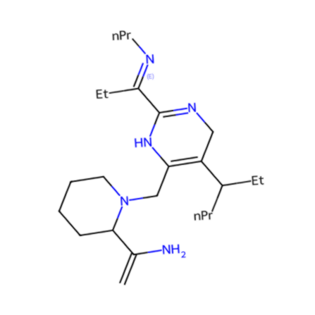 C=C(N)C1CCCCN1CC1=C(C(CC)CCC)CN=C(/C(CC)=N/CCC)N1